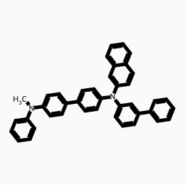 CN(c1ccccc1)c1ccc(-c2ccc(N(c3cccc(-c4ccccc4)c3)c3ccc4ccccc4c3)cc2)cc1